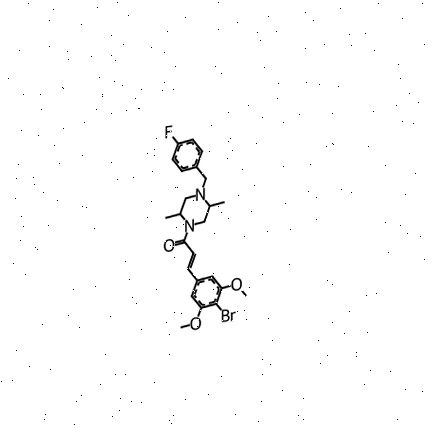 COc1cc(/C=C/C(=O)N2CC(C)N(Cc3ccc(F)cc3)CC2C)cc(OC)c1Br